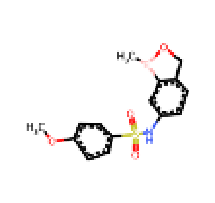 COc1ccc(S(=O)(=O)Nc2ccc3c(c2)B(C)OC3)cc1